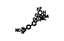 N#Cc1ncn(-c2ccc(-c3ccc4cc(C(=O)NC5(C(=O)NC6(C#N)CC6)CCC(F)(F)CC5)oc4c3)cc2)n1